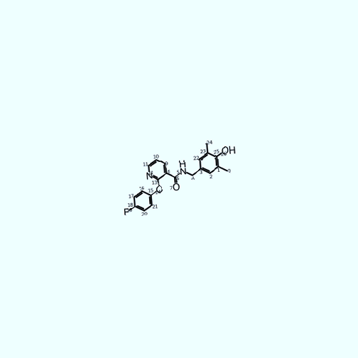 Cc1cc(CNC(=O)c2cccnc2Oc2ccc(F)cc2)cc(C)c1O